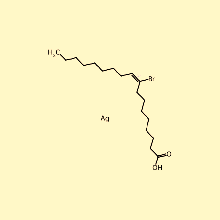 CCCCCCCC/C=C(/Br)CCCCCCCC(=O)O.[Ag]